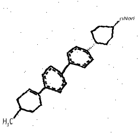 CCCCCCCCC[C@H]1CC[C@H](c2ccc(-c3ccc(C4=CCC(C)CC4)cc3)cc2)CC1